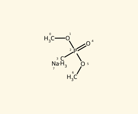 COP(C)(=O)OC.[Na]